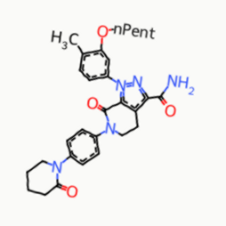 CCCCCOc1cc(-n2nc(C(N)=O)c3c2C(=O)N(c2ccc(N4CCCCC4=O)cc2)CC3)ccc1C